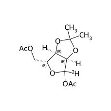 [2H]C1(OC(C)=O)O[C@H](COC(C)=O)[C@H]2OC(C)(C)O[C@H]21